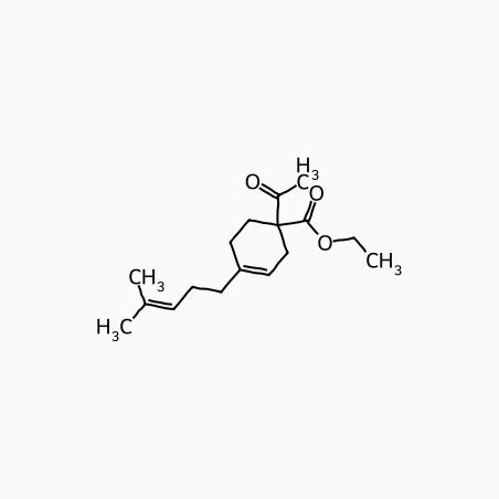 CCOC(=O)C1(C(C)=O)CC=C(CCC=C(C)C)CC1